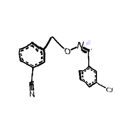 N#Cc1cccc(CO/N=[C]\c2cccc(Cl)c2)c1